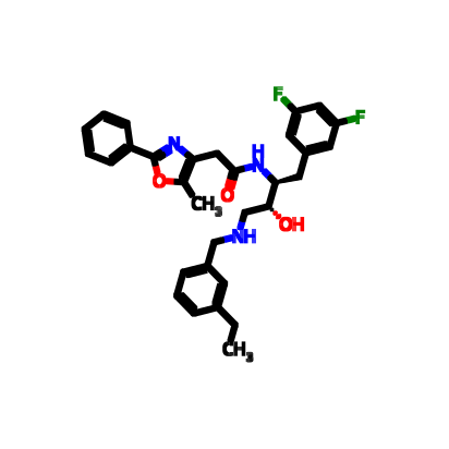 CCc1cccc(CNC[C@@H](O)[C@H](Cc2cc(F)cc(F)c2)NC(=O)Cc2nc(-c3ccccc3)oc2C)c1